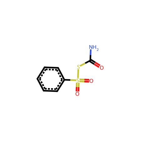 NC(=O)SS(=O)(=O)c1ccccc1